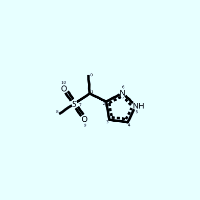 CC(c1cc[nH]n1)S(C)(=O)=O